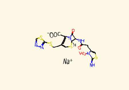 N=c1scc(CC(=O)NC2C(=O)N3C(C(=O)[O-])=C(CSc4nncs4)CS[C@H]23)n1O.[Na+]